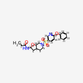 C=CC(=O)NC1CC2CCN(S(=O)(=O)c3ccc(Oc4ccccc4)nc3)CC2O1